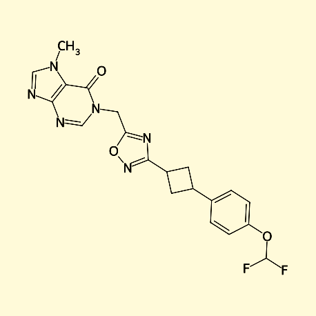 Cn1cnc2ncn(Cc3nc(C4CC(c5ccc(OC(F)F)cc5)C4)no3)c(=O)c21